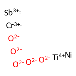 [Cr+3].[Ni].[O-2].[O-2].[O-2].[O-2].[O-2].[Sb+3].[Ti+4]